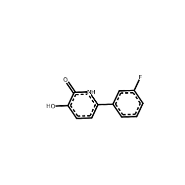 O=c1[nH]c(-c2cccc(F)c2)ccc1O